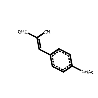 CC(=O)Nc1ccc(/C=C(\C#N)C=O)cc1